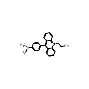 CN(C)c1ccc(-c2c3ccccc3[n+](CCO)c3ccccc23)cc1